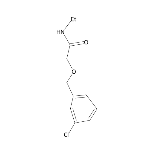 CCNC(=O)COCc1cccc(Cl)c1